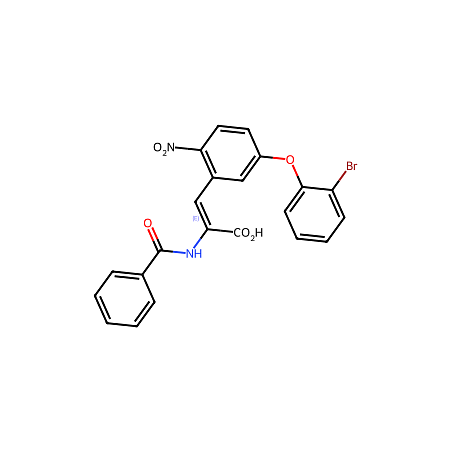 O=C(O)/C(=C\c1cc(Oc2ccccc2Br)ccc1[N+](=O)[O-])NC(=O)c1ccccc1